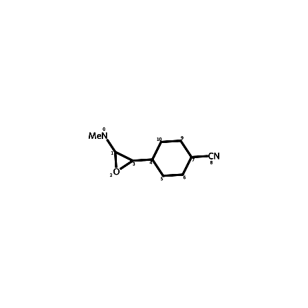 CNC1OC1C1CCC(C#N)CC1